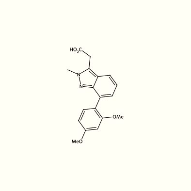 COc1ccc(-c2cccc3c(CC(=O)O)n(C)nc23)c(OC)c1